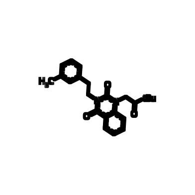 Cc1cccc(CCn2c(=O)c3ccccc3n(CC(=O)C(C)(C)C)c2=O)c1